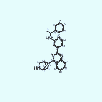 C[C@H](Nc1cc(-c2nc(N3CC4CC3CN4)c3ccccc3n2)ccn1)c1ccccc1